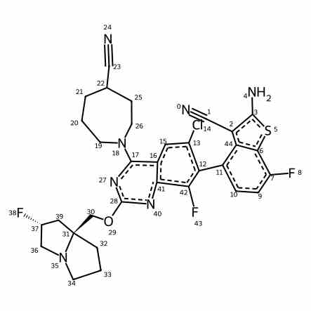 N#Cc1c(N)sc2c(F)ccc(-c3c(Cl)cc4c(N5CCCC(C#N)CC5)nc(OC[C@@]56CCCN5C[C@H](F)C6)nc4c3F)c12